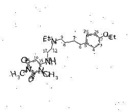 CCOc1ccc(CCCCN(CC)CCNc2cc(=O)n(C)c(=O)n2C)cc1